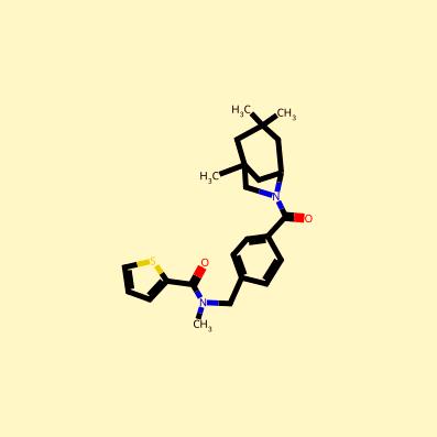 CN(Cc1ccc(C(=O)N2CC3(C)CC2CC(C)(C)C3)cc1)C(=O)c1cccs1